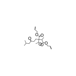 C=CCOC(=O)C(C)C(CCC(=O)CC(C)C)(C(C)=O)C(=O)OCC=C